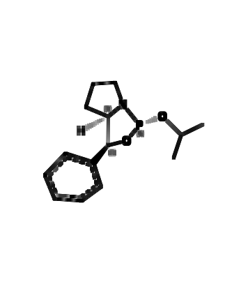 CC(C)O[P@]1O[C@@H](c2ccccc2)[C@H]2CCCN21